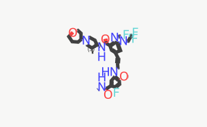 CNC(=O)c1cc(NCC#Cc2cc(C(=O)N[C@H]3CCN(C4CCCOCC4)C[C@@H]3C)c3ncn(CC(F)(F)F)c3c2)c(OC)cc1F